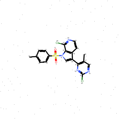 Cc1ccc(S(=O)(=O)n2cc(-c3nc(Cl)ncc3C)c3ccnc(Cl)c32)cc1